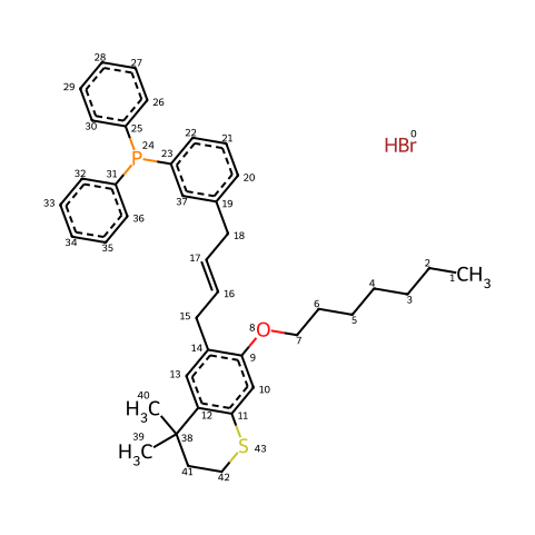 Br.CCCCCCCOc1cc2c(cc1C/C=C/Cc1cccc(P(c3ccccc3)c3ccccc3)c1)C(C)(C)CCS2